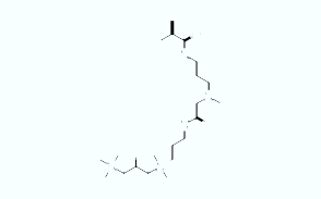 C=C(C)C(=O)NCCCN(C)CC(=O)NCCC[N+](C)(C)CC(O)C[N+](C)(C)C